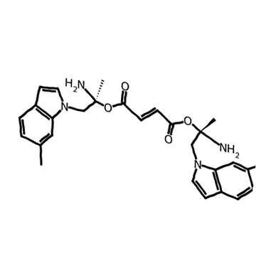 Cc1ccc2ccn(C[C@@](C)(N)OC(=O)/C=C/C(=O)O[C@](C)(N)Cn3ccc4ccc(C)cc43)c2c1